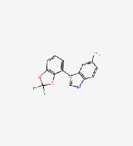 Cc1ccc2[nH]cc(-c3cccc4c3OC(F)(F)O4)c2c1